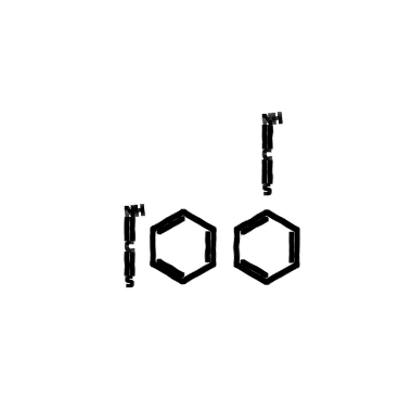 N=C=S.N=C=S.c1ccccc1.c1ccccc1